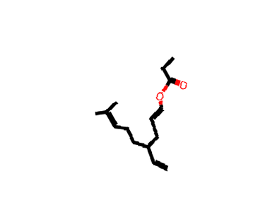 C=CC(CC=COC(=O)CC)CCC=C(C)C